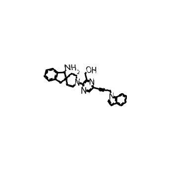 N[C@@H]1c2ccccc2CC12CCN(c1ncc(C#CCn3ccc4ccccc43)nc1CO)CC2